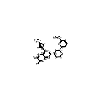 COc1cccc([C@@H]2C[C@H](c3nc(C45CC(C(F)(F)F)(C4)C5)c4nc(C)c(C)nc4n3)CCO2)n1